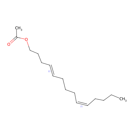 CCCC/C=C\CCC/C=C/CCCOC(C)=O